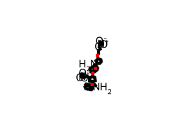 NCC1(c2ccc(C3C4CC5CC3CC(C4)C5(N)c3cccc(CCCCO[N+](=O)[O-])c3)c(CO[N+](=O)[O-])c2)C2CC3CC(C2)CC1C3